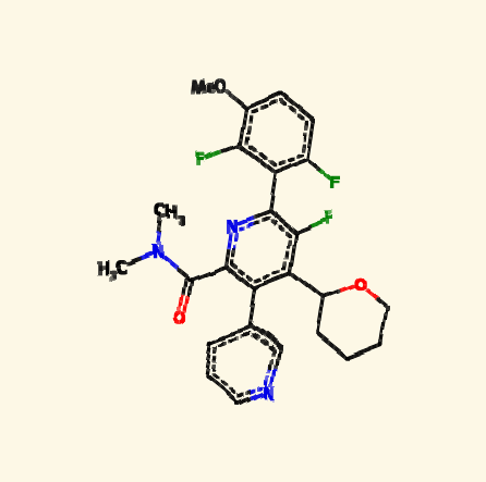 COc1ccc(F)c(-c2nc(C(=O)N(C)C)c(-c3cccnc3)c(C3CCCCO3)c2F)c1F